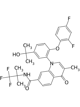 Cc1cn(-c2cc(C(C)(C)O)ccc2Oc2ccc(F)cc2F)c2cc(C(=O)NC(C)(C)C(F)(F)F)ccc2c1=O